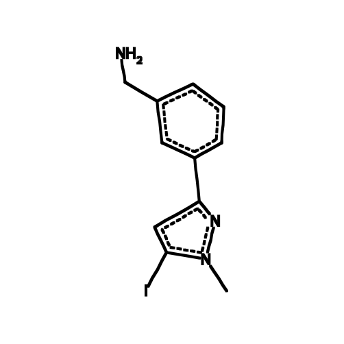 Cn1nc(-c2cccc(CN)c2)cc1I